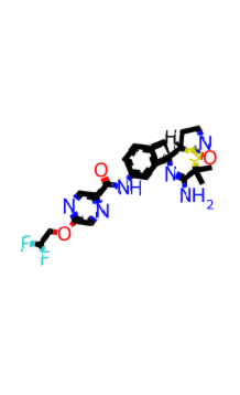 CC1(C)C(N)=N[C@@]2(Cc3ccc(NC(=O)c4cnc(OCC(F)F)cn4)cc32)[C@@H]2CCN=S21=O